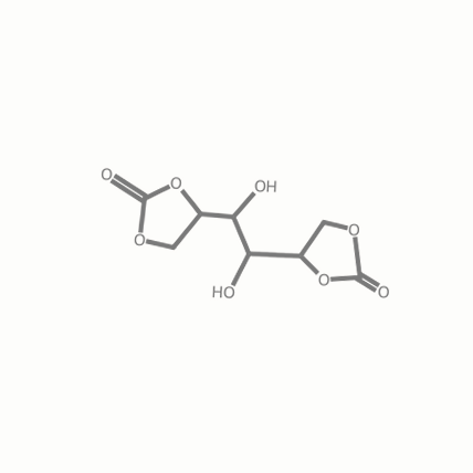 O=C1OCC(C(O)C(O)C2COC(=O)O2)O1